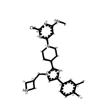 CNc1cc(N2CCC(c3nc(-c4ccc(F)c(C)c4)cn3CC3CNC3)CC2)nc(Cl)n1